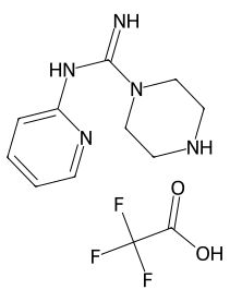 N=C(Nc1ccccn1)N1CCNCC1.O=C(O)C(F)(F)F